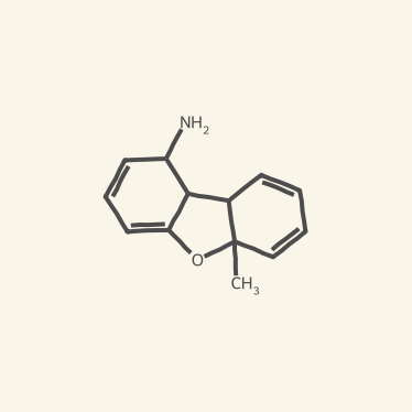 CC12C=CC=CC1C1C(=CC=CC1N)O2